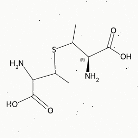 CC(SC(C)[C@H](N)C(=O)O)C(N)C(=O)O